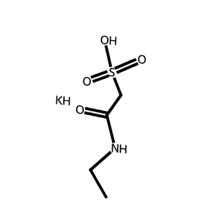 CCNC(=O)CS(=O)(=O)O.[KH]